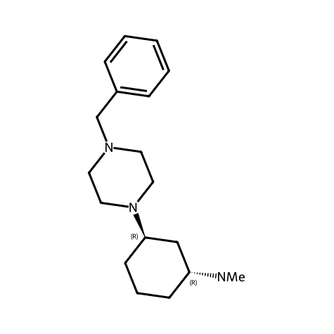 CN[C@@H]1CCC[C@@H](N2CCN(Cc3ccccc3)CC2)C1